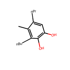 CCCCc1c(C)c(CCC)cc(O)c1O